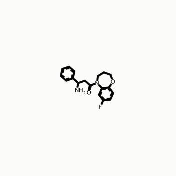 NC(CC(=O)N1CCCOc2ccc(F)cc21)c1ccccc1